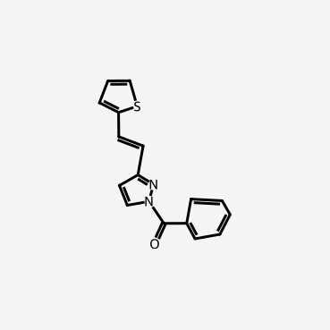 O=C(c1ccccc1)n1ccc(/C=C/c2cccs2)n1